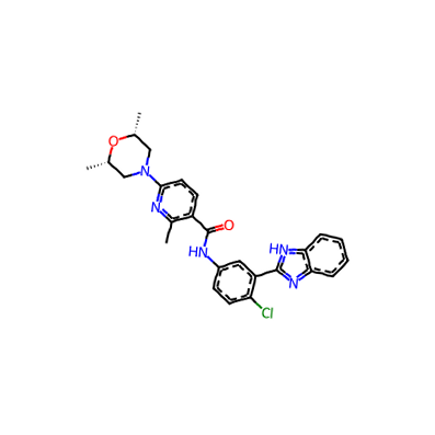 Cc1nc(N2C[C@@H](C)O[C@@H](C)C2)ccc1C(=O)Nc1ccc(Cl)c(-c2nc3ccccc3[nH]2)c1